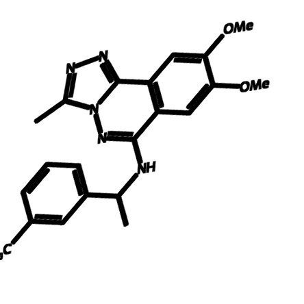 COc1cc2c(NC(C)c3cccc(C(F)(F)F)c3)nn3c(C)nnc3c2cc1OC